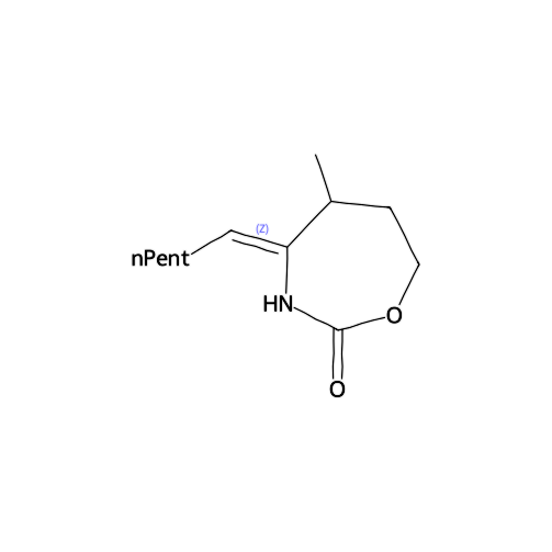 CCCCC/C=C1\NC(=O)OCCC1C